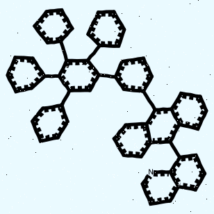 c1ccc(-c2cc(-c3cccc(-c4c5ccccc5c(-c5cccc6cccnc56)c5ccccc45)c3)c(-c3ccccc3)c(-c3ccccc3)c2-c2ccccc2)cc1